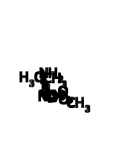 CCOC(=O)c1ccc2ncn(CCC(C)(C)N)c2c1